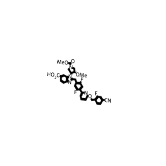 COC(=O)N1C[C@@H](OC)[C@@H](n2c(Cc3cc(F)c(-c4cccc(OCc5ccc(C#N)cc5F)n4)cc3F)nc3ccc(C(=O)O)cc32)C1